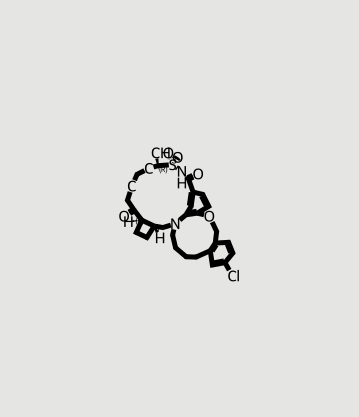 C[C@@H]1CCCCC(=O)[C@@H]2CC[C@H]2CN2CCCCc3cc(Cl)ccc3COc3ccc(cc32)C(=O)NS1(=O)=O